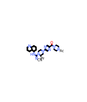 CC(=O)N1CCN(C(=O)c2cnc(N3CCN(/C(=N\C#N)Nc4cccc5ncccc45)C(C(C)C)C3)cn2)CC1